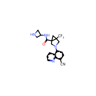 N#Cc1ccc(N2CC3(C(=O)NC4CNC4)CC3(C(F)(F)F)C2)c2cccnc12